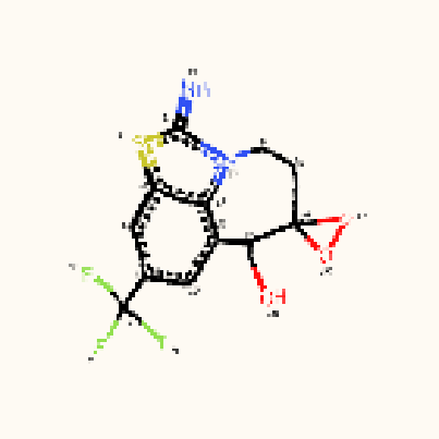 N=c1sc2cc(C(F)(F)F)cc3c2n1CCC1(OO1)C3O